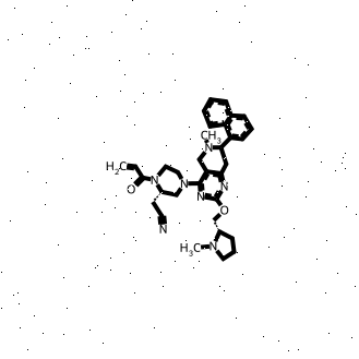 C=CC(=O)N1CCN(c2nc(OC[C@@H]3CCCN3C)nc3c2CN(C)C(c2cccc4ccccc24)C3)C[C@@H]1CC#N